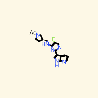 CC(=O)N1CC[C@H](CNc2nc(-c3c[nH]c4ncccc34)ncc2F)C1